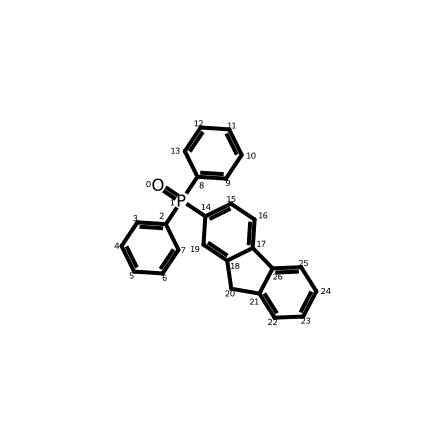 O=P(c1ccccc1)(c1ccccc1)c1ccc2c(c1)Cc1ccccc1-2